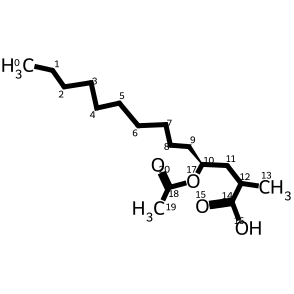 CCCCCCCCCC[C@@H](CC(C)C(=O)O)OC(C)=O